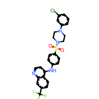 O=S(=O)(c1ccc(Nc2ccnc3cc(C(F)(F)F)ccc23)cc1)N1CCN(c2cccc(Cl)c2)CC1